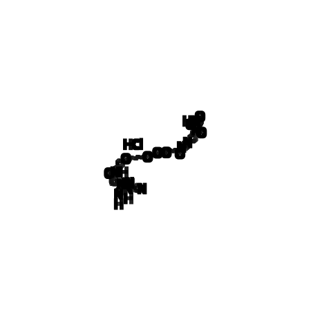 C[C@@H](NC(=O)c1cccc(NC2(c3nnc(-c4ccncc4)[nH]3)CCNCC2)c1)c1ccc(OCCCCCCOCCOCCOCCCC(=O)N2CCN(c3ccc4c(c3)CN(C3CCC(=O)NC3=O)C4=O)CC2)cc1.Cl